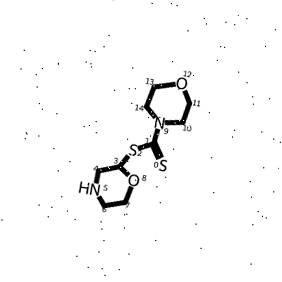 S=C(SC1CNCCO1)N1CCOCC1